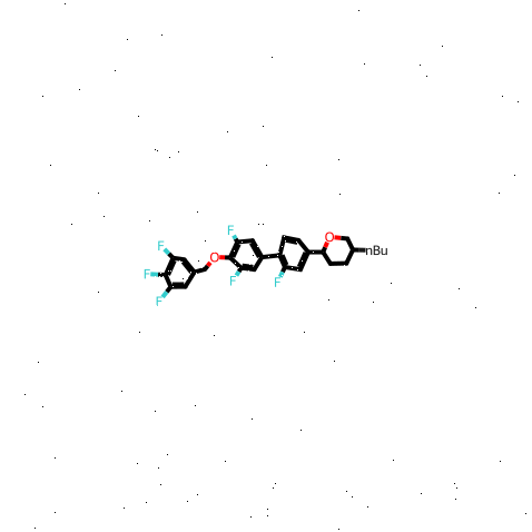 CCCCC1CCC(c2ccc(-c3cc(F)c(OCc4cc(F)c(F)c(F)c4)c(F)c3)c(F)c2)OC1